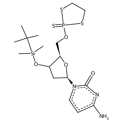 CC(C)(C)[Si](C)(C)OC1C[C@H](n2ccc(N)nc2=O)O[C@@H]1COP1(=S)SCCS1